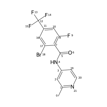 Cc1cc(NC(=O)c2c(F)cc(C(F)(F)F)cc2Br)ccn1